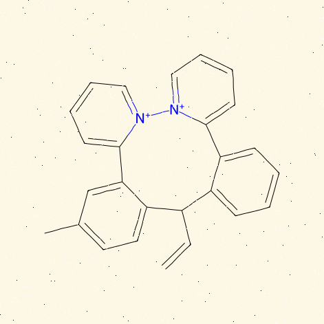 C=CC1c2ccccc2-c2cccc[n+]2-[n+]2ccccc2-c2cc(C)ccc21